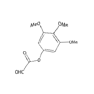 COc1cc(OC(=O)C=O)cc(OC)c1OC